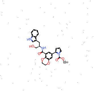 CC(C)(C)OC(=O)n1cccc1-c1cc2c(c(C(=O)N[C@@H](CO)Cc3c[nH]c4ccccc34)c1)OCCO2